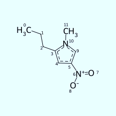 CCCc1cc([N+](=O)[O-])cn1C